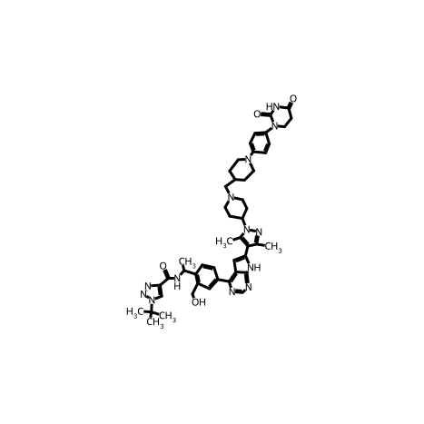 Cc1nn(C2CCN(CC3CCN(c4ccc(N5CCC(=O)NC5=O)cc4)CC3)CC2)c(C)c1-c1cc2c(-c3ccc(C(C)NC(=O)c4cn(C(C)(C)C)nn4)c(CO)c3)ncnc2[nH]1